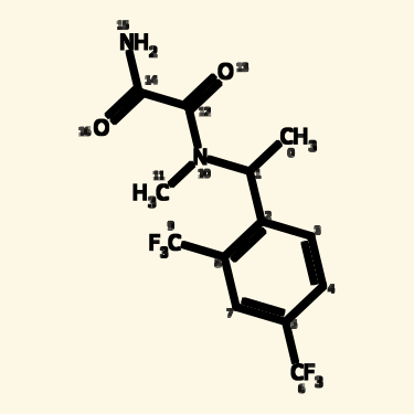 CC(c1ccc(C(F)(F)F)cc1C(F)(F)F)N(C)C(=O)C(N)=O